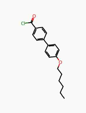 CCCCCCOc1ccc(-c2ccc(C(=O)Cl)cc2)cc1